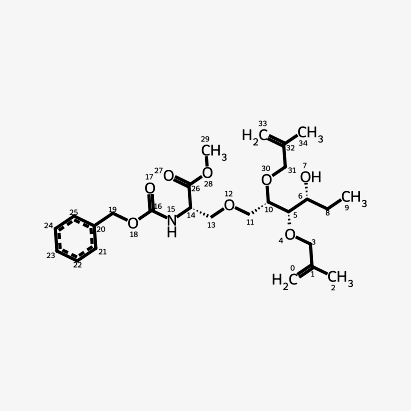 C=C(C)CO[C@@H]([C@H](O)CC)[C@H](COC[C@H](NC(=O)OCc1ccccc1)C(=O)OC)OCC(=C)C